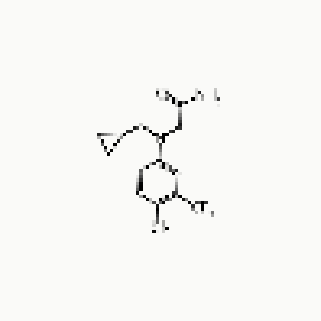 N#Cc1ccc(N(CC(N)=O)CC2CC2)cc1C(F)(F)F